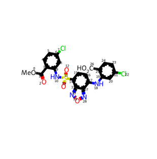 COC(=O)c1ccc(Cl)cc1NS(=O)(=O)c1ccc(Nc2cc(Cl)ccc2C(=O)O)c2nonc12